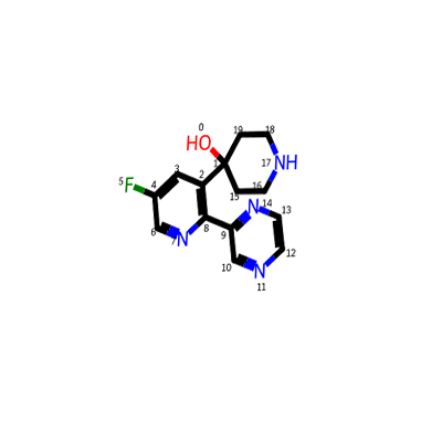 OC1(c2cc(F)cnc2-c2cnccn2)CCNCC1